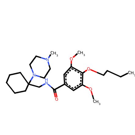 CCCCOc1c(OC)cc(C(=O)NCC2(N3CCN(C)CC3)CCCCC2)cc1OC